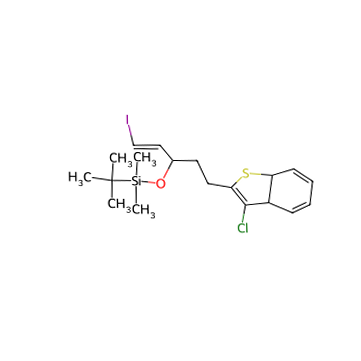 CC(C)(C)[Si](C)(C)OC(/C=C/I)CCC1=C(Cl)C2C=CC=CC2S1